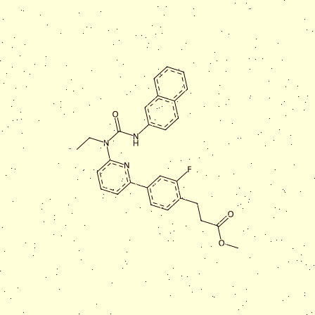 CCN(C(=O)Nc1ccc2ccccc2c1)c1cccc(-c2ccc(CCC(=O)OC)c(F)c2)n1